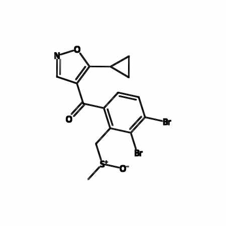 C[S+]([O-])Cc1c(C(=O)c2cnoc2C2CC2)ccc(Br)c1Br